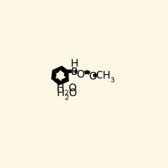 COCOBc1ccccc1.O.O